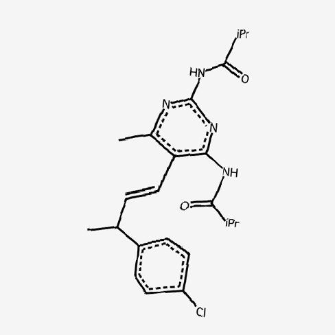 Cc1nc(NC(=O)C(C)C)nc(NC(=O)C(C)C)c1C=CC(C)c1ccc(Cl)cc1